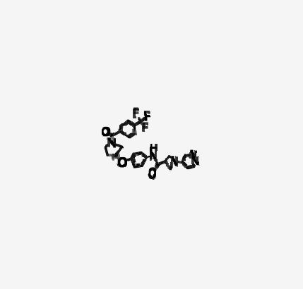 O=C(Nc1ccc(O[C@@H]2CCN(C(=O)c3ccc(C(F)(F)F)cc3)C2)cc1)C1CN(c2ccnnc2)C1